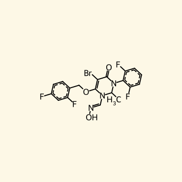 CC1N(C=NO)C(OCc2ccc(F)cc2F)=C(Br)C(=O)N1c1c(F)cccc1F